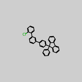 Clc1ccccc1-c1cccc(-c2ccc(C3(c4ccccc4)c4ccccc4-c4ccccc43)cc2)c1